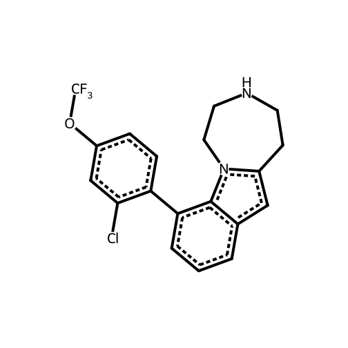 FC(F)(F)Oc1ccc(-c2cccc3cc4n(c23)CCNCC4)c(Cl)c1